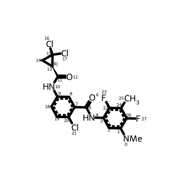 CNc1cc(NC(=O)c2cc(NC(=O)[C@H]3CC3(Cl)Cl)ccc2Cl)c(F)c(C)c1F